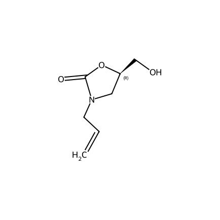 C=CCN1C[C@H](CO)OC1=O